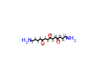 NCCCCC(=O)CCC(=O)CCC(=O)CCCN